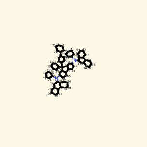 c1ccc(-c2ccc(C3(c4ccccc4)c4cc(N(c5ccccc5)c5cc6ccccc6c6ccccc56)ccc4-c4ccc(N(c5ccccc5)c5cc6ccccc6c6ccccc56)cc43)cc2)cc1